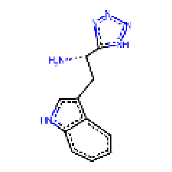 N[C@@H](Cc1c[nH]c2ccccc12)c1nnn[nH]1